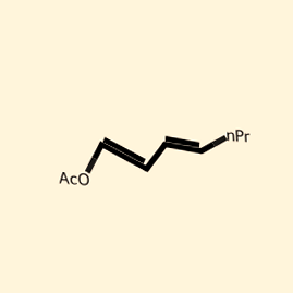 CCCC=CC=COC(C)=O